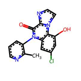 Cc1ncccc1-n1c(=O)c2nccn2c2c(O)cc(Cl)cc21